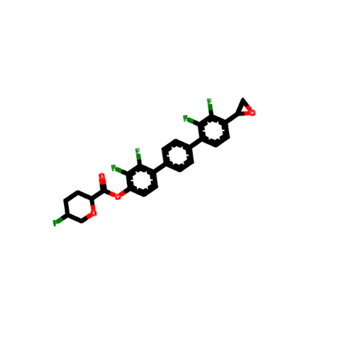 O=C(Oc1ccc(-c2ccc(-c3ccc(C4CO4)c(F)c3F)cc2)c(F)c1F)C1CCC(F)CO1